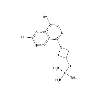 BC(B)(B)OC1CN(c2ncc(C(C)C)c3cc(Cl)ncc23)C1